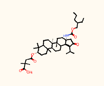 CCCC(CC)COC(=O)N[C@@]12CC[C@]3(C)C(CCC4C5(C)CC[C@H](OC(=O)CC(C)(C)C(=O)O)C(C)(C)C5CC[C@]43C)C1=C(C(C)C)C(=O)C2